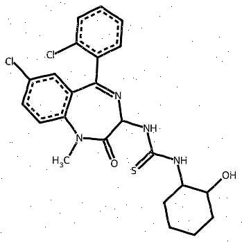 CN1C(=O)C(NC(=S)NC2CCCCC2O)N=C(c2ccccc2Cl)c2cc(Cl)ccc21